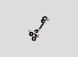 O=C(O)[C@H](c1cc(F)ccc1[C@H]1CCCCO1)N1CC[C@H](OCCCCc2ccc3c(n2)NCCC3)C1